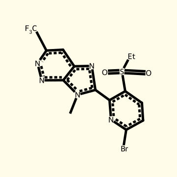 CCS(=O)(=O)c1ccc(Br)nc1-c1nc2cc(C(F)(F)F)nnc2n1C